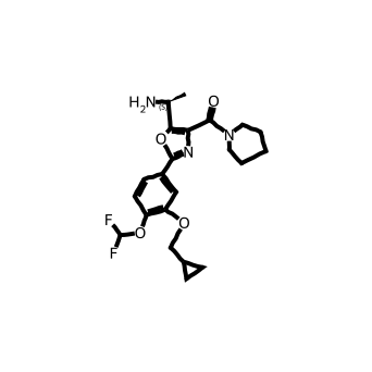 C[C@H](N)c1oc(-c2ccc(OC(F)F)c(OCC3CC3)c2)nc1C(=O)N1CCCCC1